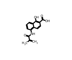 C=C(C)C(=O)Nc1cccc2c(O)c(C(=O)O)ccc12